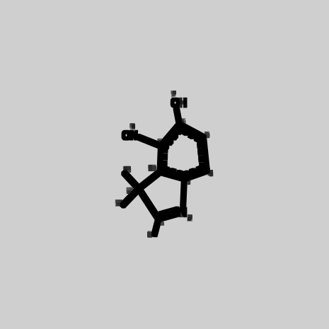 CC1=Nc2ccc(O)c(N=O)c2C1(C)C